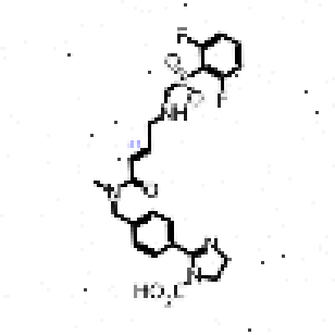 CN(Cc1ccc(C2=NCCN2C(=O)O)cc1)C(=O)/C=C/CNCS(=O)(=O)c1c(F)cccc1F